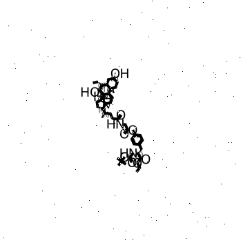 CCOC(=O)[C@H](Cc1ccc(OC(=O)CNC(=O)CC[C@@H](C)[C@H]2CC[C@H]3[C@H]4C(CC[C@]23C)[C@@]2(C)CC[C@@H](O)CC2[C@@H](CC)[C@H]4O)cc1)NC(=O)OC(C)(C)C